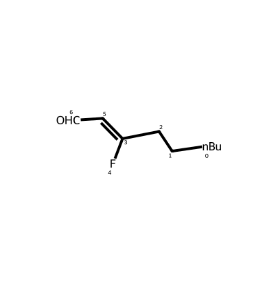 CCCCCCC(F)=CC=O